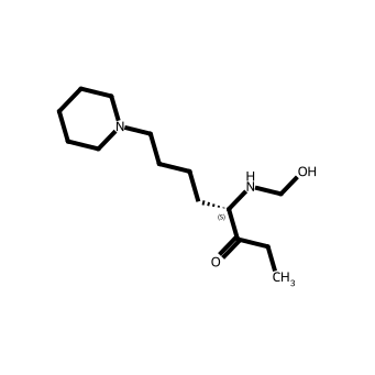 CCC(=O)[C@H](CCCCN1CCCCC1)NCO